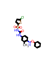 Cc1cc(NC(=O)NS(=O)(=O)c2ccc(Cl)s2)ccc1NOc1ccccc1